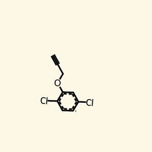 C#CCOc1cc(Cl)[c]cc1Cl